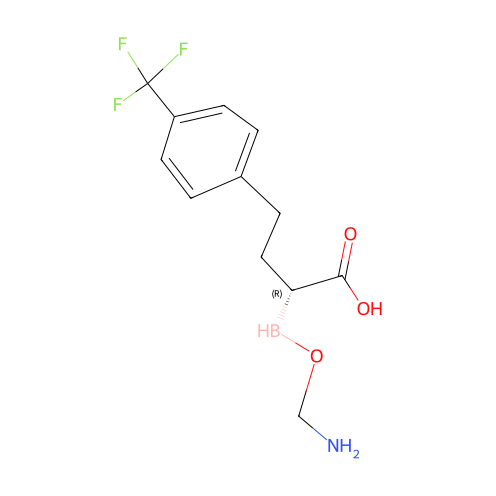 NCOB[C@H](CCc1ccc(C(F)(F)F)cc1)C(=O)O